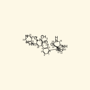 Cn1cc(-c2cccc(C3NC4CCNC5CNCCC54[N+]3=O)c2CO)cc(Nc2ccncn2)c1=O